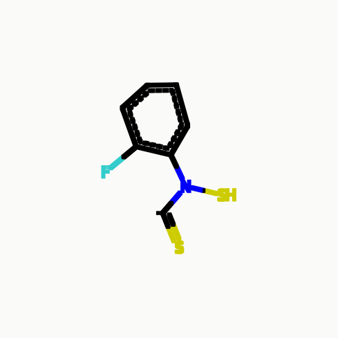 Fc1ccccc1N(S)[C]=S